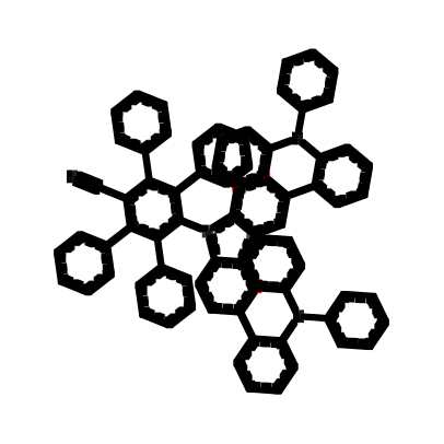 N#Cc1c(-c2ccccc2)c(-c2ccccc2)c(-n2c3ccc(-c4ccccc4N(c4ccccc4)c4ccccc4)cc3c3cc(-c4ccccc4N(c4ccccc4)c4ccccc4)ccc32)c(-c2ccccc2)c1-c1ccccc1